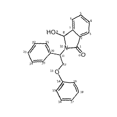 O=C1c2ccccc2C(O)N1C(COc1ccccc1)c1ccccc1